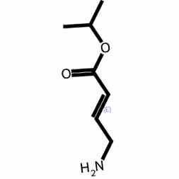 CC(C)OC(=O)/C=C/CN